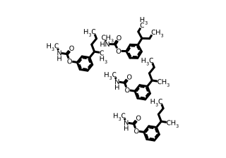 CCC(CC)c1cccc(OC(=O)NC)c1.CCCC(C)c1cccc(OC(=O)NC)c1.CCCC(C)c1cccc(OC(=O)NC)c1.CCCC(C)c1cccc(OC(=O)NC)c1